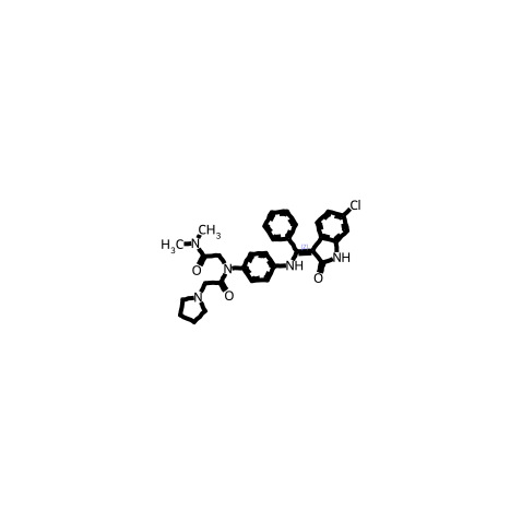 CN(C)C(=O)CN(C(=O)CN1CCCC1)c1ccc(N/C(=C2\C(=O)Nc3cc(Cl)ccc32)c2ccccc2)cc1